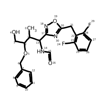 CC(C(CO)OCc1ccccc1)C(NC=O)c1noc(Cc2c(F)cccc2F)n1